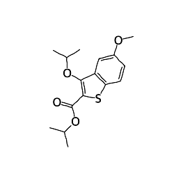 COc1ccc2sc(C(=O)OC(C)C)c(OC(C)C)c2c1